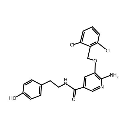 Nc1ncc(C(=O)NCCc2ccc(O)cc2)cc1OCc1c(Cl)cccc1Cl